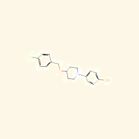 Oc1ccc(N2CCC(OCc3ccc(Cl)cc3)CC2)cc1